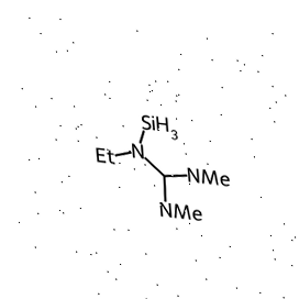 CCN([SiH3])C(NC)NC